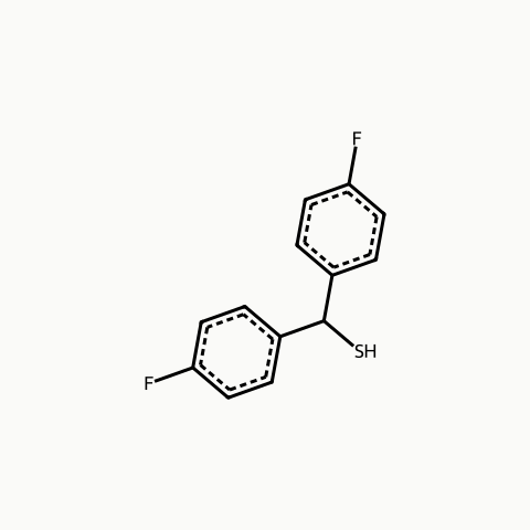 Fc1ccc(C(S)c2ccc(F)cc2)cc1